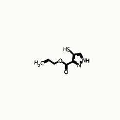 C=CCOC(=O)c1n[nH]cc1S